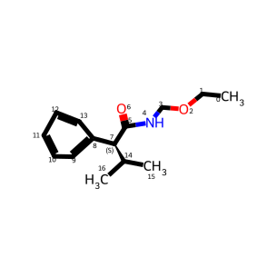 CCOCNC(=O)[C@H](c1ccccc1)C(C)C